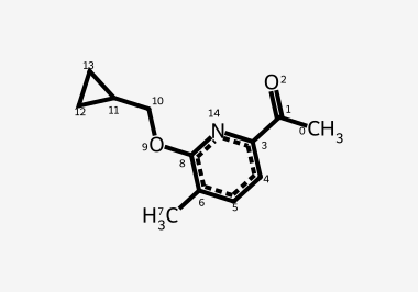 CC(=O)c1ccc(C)c(OCC2CC2)n1